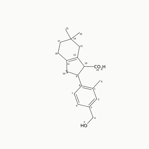 Cc1cc(CO)ccc1C1SC2=C(CC(C)(C)CC2)C1C(=O)O